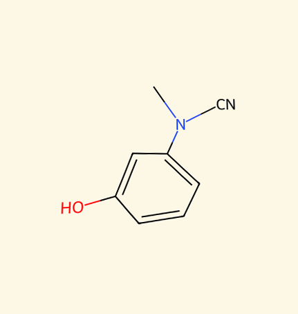 CN(C#N)c1cccc(O)c1